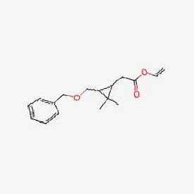 C=COC(=O)CC1C(COCc2ccccc2)C1(C)C